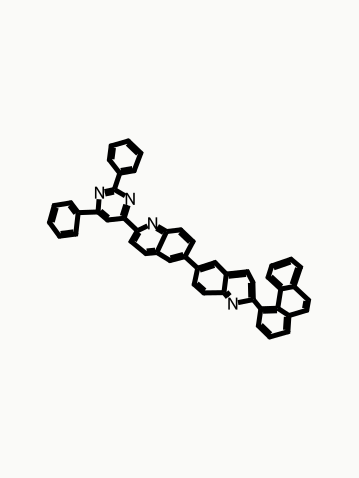 c1ccc(-c2cc(-c3ccc4cc(-c5ccc6nc(-c7cccc8ccc9ccccc9c78)ccc6c5)ccc4n3)nc(-c3ccccc3)n2)cc1